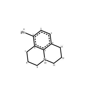 CC(C)c1ccc2c3c1CCCN3CCC2